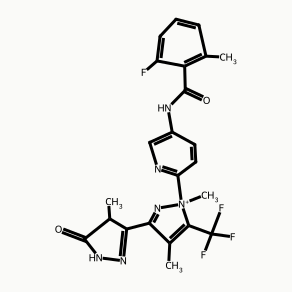 CC1=C(C(F)(F)F)[N+](C)(c2ccc(NC(=O)c3c(C)cccc3F)cn2)N=C1C1=NNC(=O)C1C